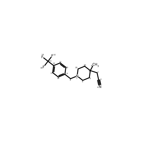 CC1(CC#N)CCN(Cc2ccc(C(F)(F)F)cc2)CC1